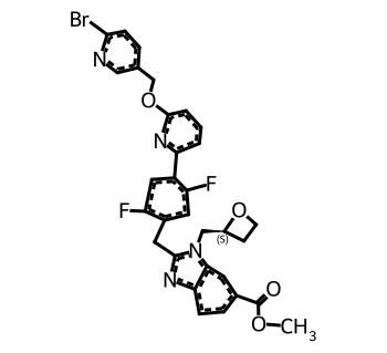 COC(=O)c1ccc2nc(Cc3cc(F)c(-c4cccc(OCc5ccc(Br)nc5)n4)cc3F)n(C[C@@H]3CCO3)c2c1